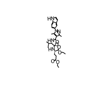 CCOC(=O)CC[C@@H](NC(=O)[C@@H](NC(=O)c1c(C)nn(-c2ccc3[nH]ccc3c2)c1C)C(C)C)C(=O)OCC